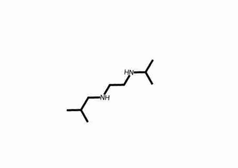 CC(C)CNCCNC(C)C